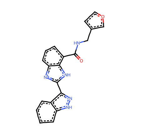 O=C(NCc1ccoc1)c1cccc2nc(-c3n[nH]c4ccccc34)[nH]c12